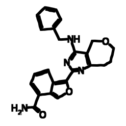 NC(=O)c1cccc2c(-c3nc4c(c(NCc5ccccc5)n3)COCCC4)occ12